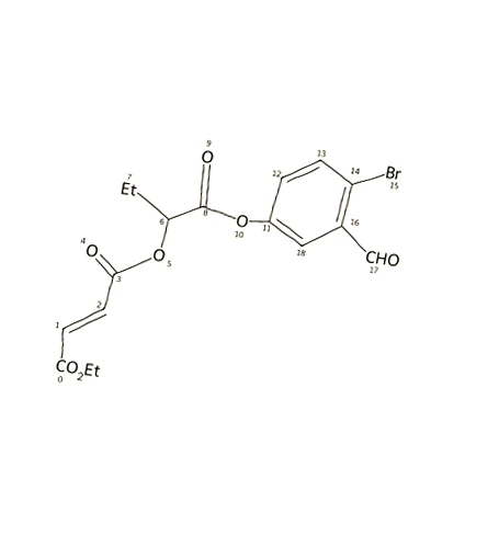 CCOC(=O)C=CC(=O)OC(CC)C(=O)Oc1ccc(Br)c(C=O)c1